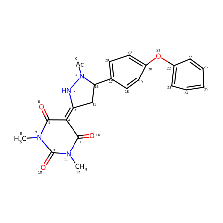 CC(=O)N1NC(=C2C(=O)N(C)C(=O)N(C)C2=O)CC1c1ccc(Oc2ccccc2)cc1